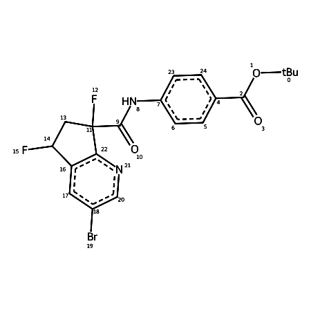 CC(C)(C)OC(=O)c1ccc(NC(=O)C2(F)CC(F)c3cc(Br)cnc32)cc1